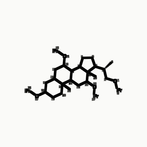 CC(C)OC[C@@H](C)C1CCC2C3C(OC(C)C)CC4CC(OC(C)C)CCC4(C)C3CC(OC(C)C)C21C